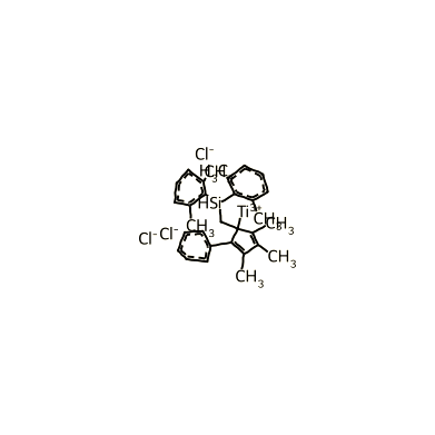 CC1=C(C)[C]([Ti+3])(C[SiH](c2c(C)cccc2C)c2c(C)cccc2C)C(c2ccccc2)=C1C.[Cl-].[Cl-].[Cl-]